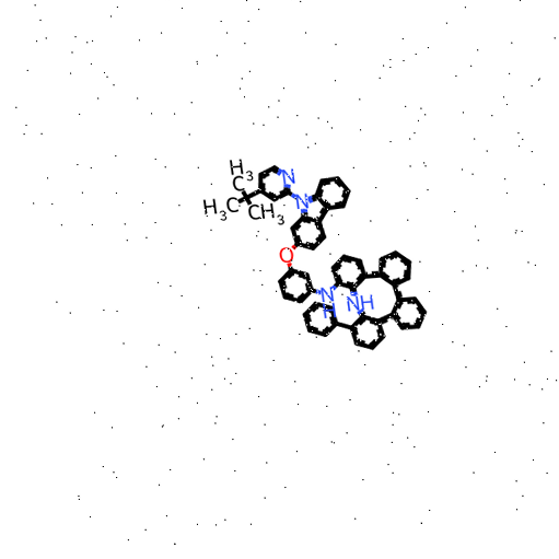 CC(C)(C)c1ccnc(-n2c3ccccc3c3ccc(Oc4cccc(Nc5cccc6c5[nH]c5c(-c7ccccc7)cccc5c5ccccc5c5ccccc65)c4)cc32)c1